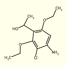 CCOc1cc(N)c(Cl)c(OCC)c1C(C)O